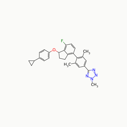 Cc1cc(-c2nnn(C)n2)cc(C)c1-c1ccc(F)c2c1CCC2Oc1ccc(C2CC2)cc1